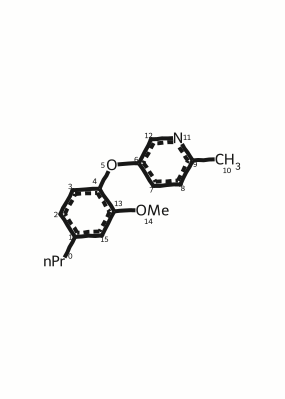 CCCc1ccc(Oc2ccc(C)nc2)c(OC)c1